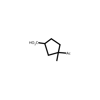 CC(=O)C1(C)CCC(C(=O)O)C1